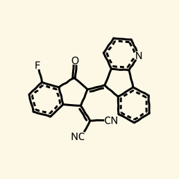 N#CC(C#N)=C1/C(=C2\c3ccccc3-c3ncccc32)C(=O)c2c(F)cccc21